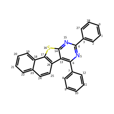 c1ccc(-c2nc(-c3ccccc3)c3c(n2)sc2c4ccccc4ccc23)cc1